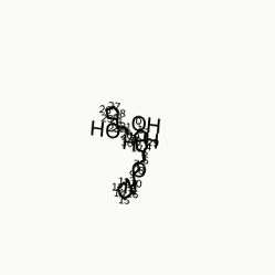 O[C@@H]1C[C@@H]2CC(=CCOCCN3CCCCC3)C[C@@H]2[C@H]1/C=C/[C@H](O)C1CCCC1